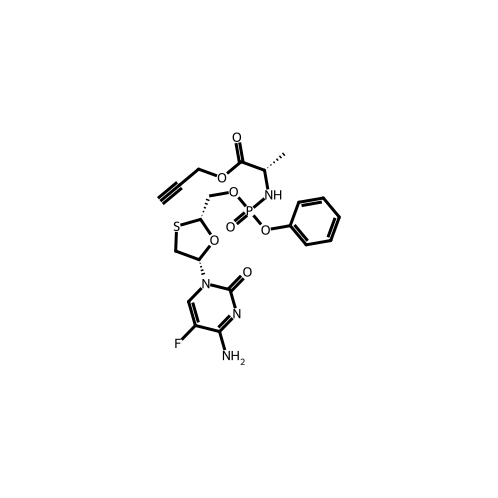 C#CCOC(=O)[C@H](C)NP(=O)(OC[C@@H]1O[C@H](n2cc(F)c(N)nc2=O)CS1)Oc1ccccc1